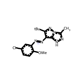 COc1ccc(Cl)cc1/N=N/c1c(C(C)(C)C)nn2c(C)n[nH]c12